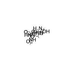 C=C(C)C(=O)NCC(=O)NC(Cc1ccccc1)C(=O)NC(CC(C)C)C(=O)NCC(=O)C(N)C(C)O